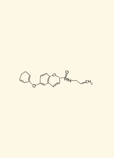 C=CCNC(=O)C1C=Cc2cc(OC3=CCCC=C3)ccc2O1